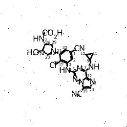 N#Cc1cc(Nc2nc(NC3CC3)c3ncc(C#N)n3n2)c(Cl)c(N2C[C@@H](O)[C@H](NC(=O)O)C2)c1